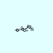 COc1cc2c(cc1OCc1ccc(C)cc1)CCNC2/C=C/c1cnc2ncc(C(=O)O)cn12